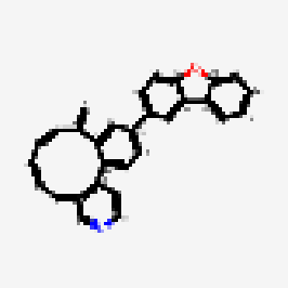 C=C1/C=C\C=C/Cc2cnccc2-c2ccc(-c3ccc4oc5ccccc5c4c3)cc21